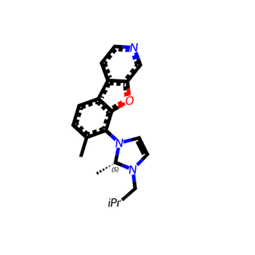 Cc1ccc2c(oc3cnccc32)c1N1C=CN(CC(C)C)[C@@H]1C